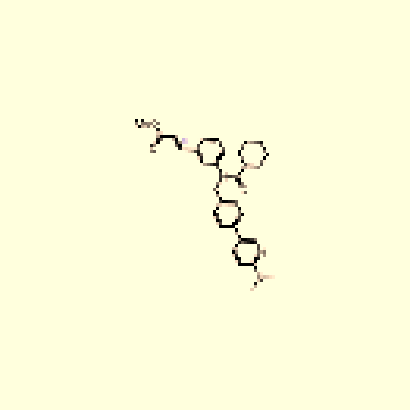 COC(=O)/C=C/c1cccc(N(Cc2ccc(-c3ccc(N(C)C)nc3)cc2)C(=O)C2CCCCC2)c1